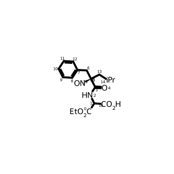 CCOC(=O)C(NC(=O)[C@](Cc1ccccc1)(CC(C)C)N=O)C(=O)O